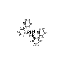 c1ccc(-c2ccccc2PCPc2ccccc2-c2ccccn2)nc1